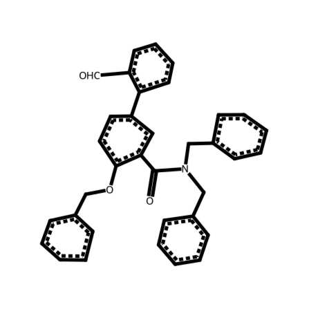 O=Cc1ccccc1-c1ccc(OCc2ccccc2)c(C(=O)N(Cc2ccccc2)Cc2ccccc2)c1